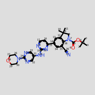 CC(C)(C)OC(=O)N1CC(C)(C)c2cc(-c3ccnc(Nc4cnc(N5CCOCC5)nc4)n3)cc(C#N)c21